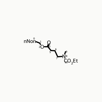 CCCCCCCCCCOC(=O)CCCN(C)C(=O)OCC